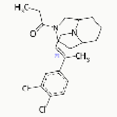 CCC(=O)N1CCC2CCCC(C1)N2C/C=C(\C)c1ccc(Cl)c(Cl)c1